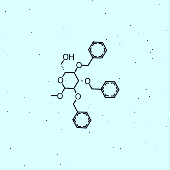 COC1O[C@H](CO)[C@@H](OCc2ccccc2)[C@H](OCc2ccccc2)[C@H]1OCc1ccccc1